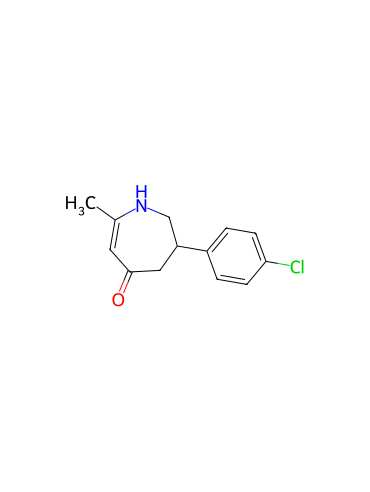 CC1=CC(=O)CC(c2ccc(Cl)cc2)CN1